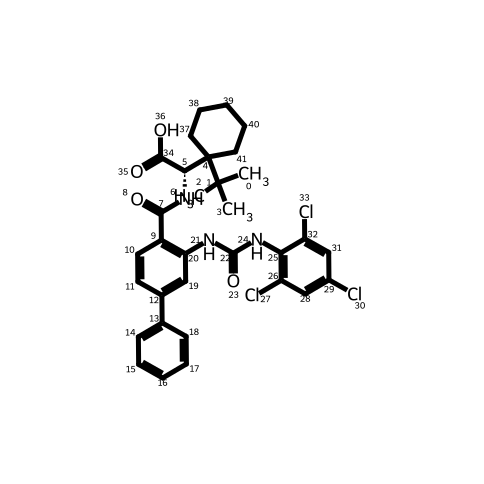 CC(C)(C)C1([C@H](NC(=O)c2ccc(-c3ccccc3)cc2NC(=O)Nc2c(Cl)cc(Cl)cc2Cl)C(=O)O)CCCCC1